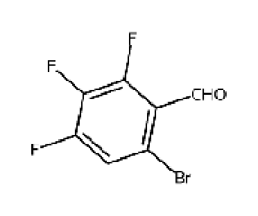 O=Cc1c(Br)cc(F)c(F)c1F